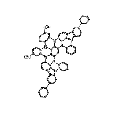 CC(C)(C)c1ccc2c(c1)N1c3ccc4c5cc(-c6ccccc6)ccc5n5c4c3B(c3ccccc3-5)c3cc4c5c(c31)B2c1ccc(C(C)(C)C)cc1N5c1ccc2c3cc(-c5ccccc5)ccc3n3c2c1B4c1ccccc1-3